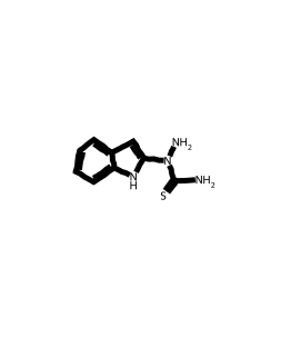 NC(=S)N(N)c1cc2ccccc2[nH]1